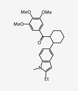 CCc1cc2cc(C3CCCCC3C(=O)c3cc(OC)c(OC)c(OC)c3)ccc2n1C